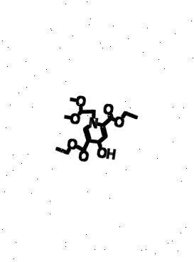 CCOC(=O)C1=CN(CC(OC)OC)C(C(=O)OCC)=CC1O